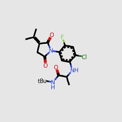 CC(C)=C1CC(=O)N(c2cc(NC(C)C(=O)NC(C)(C)C)c(Cl)cc2F)C1=O